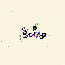 CC(=O)N1CCC(N(CC(C)C)N2CCN(C(=O)[C@@H](Cc3ccc(Cl)cc3)NC(=O)C[C@H]3NCCc4ccccc43)CC2)CC1